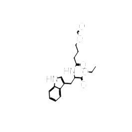 CCOC(=O)C(Cc1c[nH]c2ccccc12)NC(=O)CCCOC=O